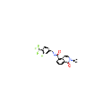 O=C(NCc1ccc(C(F)(F)F)c(F)c1)c1cccc2c(=O)n(C3CC3)ccc12